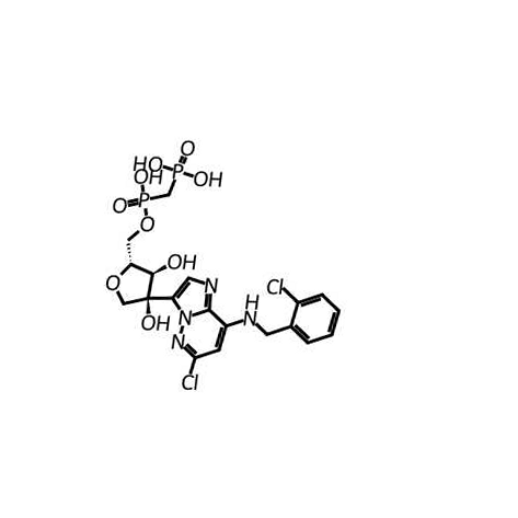 O=P(O)(O)CP(=O)(O)OC[C@H]1OC[C@@](O)(c2cnc3c(NCc4ccccc4Cl)cc(Cl)nn23)[C@@H]1O